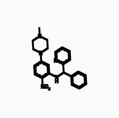 CN1CCN(c2ccc([N+](=O)[O-])c(NC(c3ccccc3)c3ccccn3)c2)CC1